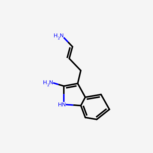 NC=CCc1c(N)[nH]c2ccccc12